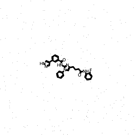 O=C(CCCc1cn(-c2ccccc2)c(NC(=O)c2cccc(-c3cn[nH]c3)c2)n1)Nc1ccccc1F